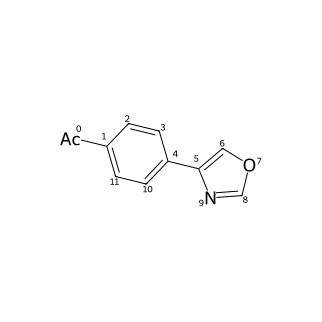 CC(=O)c1ccc(-c2cocn2)cc1